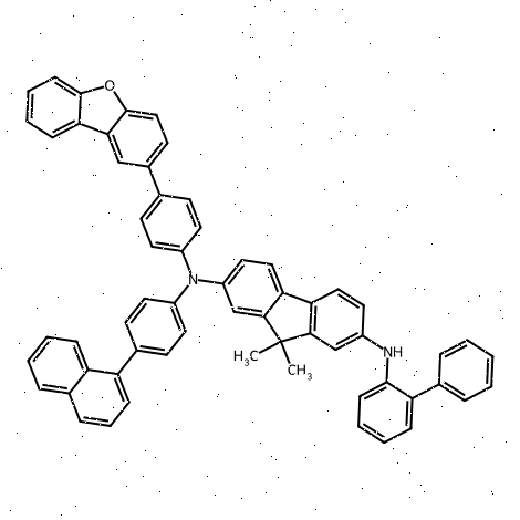 CC1(C)c2cc(Nc3ccccc3-c3ccccc3)ccc2-c2ccc(N(c3ccc(-c4ccc5oc6ccccc6c5c4)cc3)c3ccc(-c4cccc5ccccc45)cc3)cc21